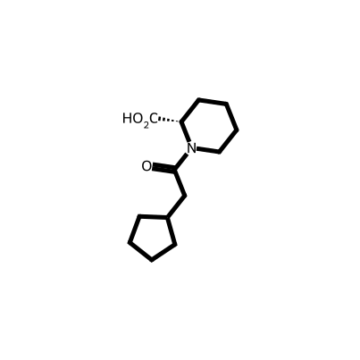 O=C(O)[C@@H]1CCCCN1C(=O)CC1CCCC1